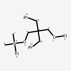 CCOCC(CO[Si](C)(C)CC)(CC(C)C)CC(C)C